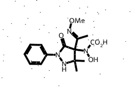 CON=C(C)C1(N(O)C(=O)O)C(=O)N(c2ccccc2)NC1(C)C